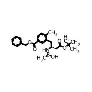 CB(O)N[C@H](CC(=O)OC(C)(C)C)Cc1cc(C(=O)OCc2ccccc2)ccc1C